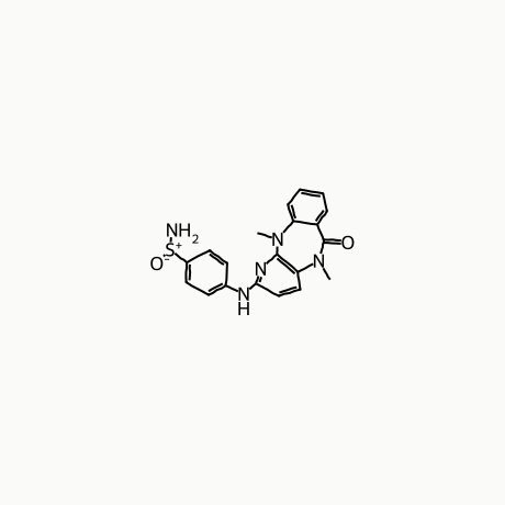 CN1C(=O)c2ccccc2N(C)c2nc(Nc3ccc([S+](N)[O-])cc3)ccc21